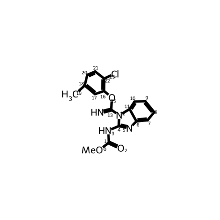 COC(=O)Nc1nc2ccccc2n1C(=N)Oc1cc(C)ccc1Cl